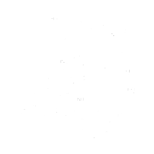 Cc1cc(CN(C)CCC(C)C)cc(C(=O)N[C@@H](Cc2cc(F)cc(F)c2)[C@H](O)CNCc2cccc(I)c2)c1.Cl